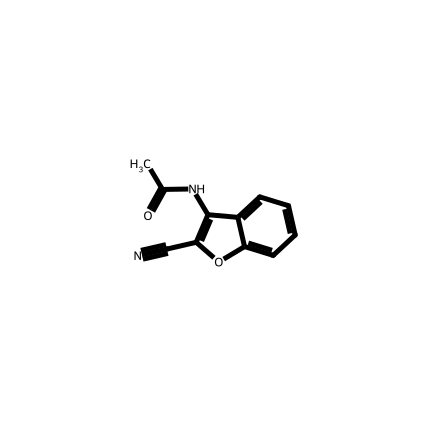 CC(=O)Nc1c(C#N)oc2ccccc12